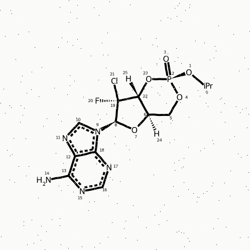 CC(C)O[P@@]1(=O)OC[C@H]2O[C@@H](n3cnc4c(N)ncnc43)[C@@](F)(Cl)[C@@H]2O1